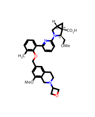 COC[C@H]1N(c2cccc(-c3cccc(C)c3OCc3cc4c(c(OC)c3)CN(C3COC3)CC4)n2)C[C@@H]2C[C@@]21C(=O)O